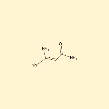 CCCC(N)=CC(N)=O